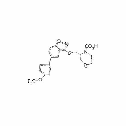 O=C(O)N1CCOCC1COc1noc2ccc(-c3ccc(OC(F)(F)F)cc3)cc12